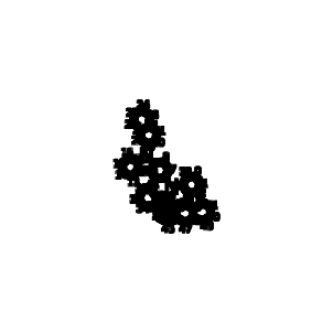 c1cc2c(c(N(c3ccc4c(c3)c3ccccc3n4-c3ccc4ccccc4c3)c3cccc4ccccc34)c1)-c1c3ccccc3cc3cccc-2c13